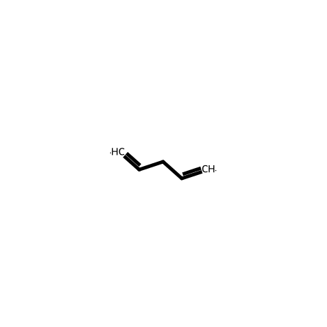 [CH]=CCC=[CH]